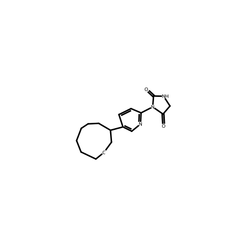 O=C1CNC(=O)N1c1ccc(C2CCCCCCCC2)cn1